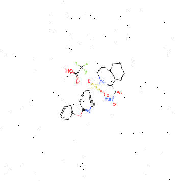 O=C(NO)C1C2CCCCC2CCN1S(=O)(=O)c1ccc(Oc2ccccc2)nc1.O=C(O)C(F)(F)F